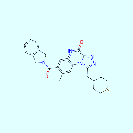 Cc1cc2c(cc1C(=O)N1Cc3ccccc3C1)[nH]c(=O)c1nnc(CC3CCSCC3)n12